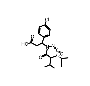 CC(C)OC(C(=O)N(N=C=O)C(CC(=O)O)c1ccc(Cl)cc1)C(C)C